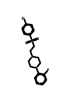 O=S(=O)(CCN1CCN(c2ccccc2F)CC1)c1ccc(Cl)cc1